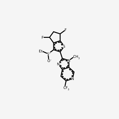 CC[S+]([O-])c1c(-c2nc3cc(C(F)(F)F)ncc3n2C)sc2c1C(F)CC2F